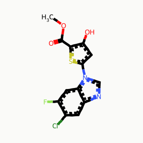 COC(=O)c1sc(-n2cnc3cc(Cl)c(F)cc32)cc1O